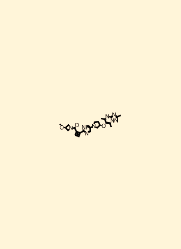 C=C(/C=N\C(=N)C12CC(C1)C2C(=O)N1CC(OC)C1)N1CC[C@@H](Oc2c(C)nc3nc(C)nn3c2C)C1